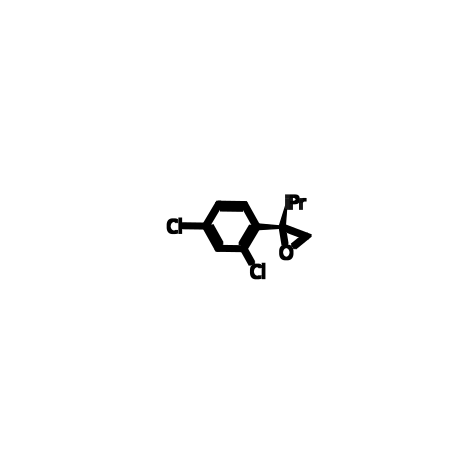 [CH2][C@H](C)[C@]1(c2ccc(Cl)cc2Cl)CO1